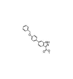 COC(=O)c1n[nH]c2cc(-c3ccc(OCc4ccccc4)cc3)ccc12